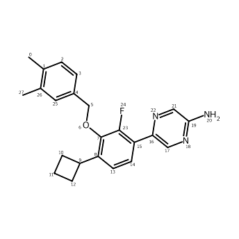 Cc1ccc(COc2c(C3CCC3)ccc(-c3cnc(N)cn3)c2F)cc1C